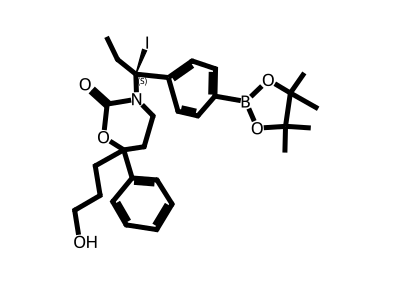 CC[C@](I)(c1ccc(B2OC(C)(C)C(C)(C)O2)cc1)N1CCC(CCCO)(c2ccccc2)OC1=O